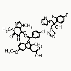 COc1ccc2c(c1)c(CC(=O)O)c(C)n2C(=O)c1ccc(Cl)cc1.Cn1cnc2c1c(=O)[nH]c(=O)n2C.OC(Cn1cncn1)(Cn1cncn1)c1ccc(F)cc1F